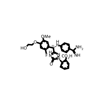 COc1cc([C@H](Nc2ccc(C(=N)N)cc2)c2nn(-c3ccccc3C(=O)O)c(=O)[nH]2)c(F)cc1OCCO